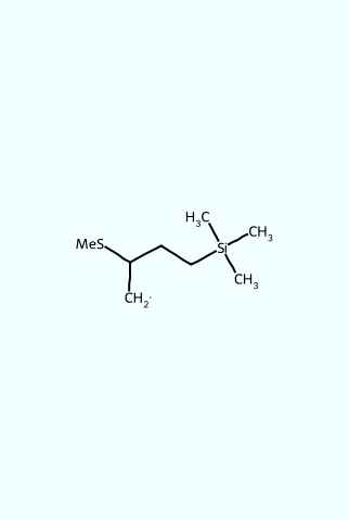 [CH2]C(CC[Si](C)(C)C)SC